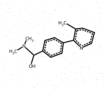 Cc1cccnc1-c1ccc(C(O)N(C)C)cc1